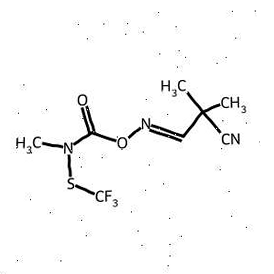 CN(SC(F)(F)F)C(=O)ON=CC(C)(C)C#N